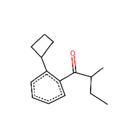 CCC(C)C(=O)c1ccccc1C1CCC1